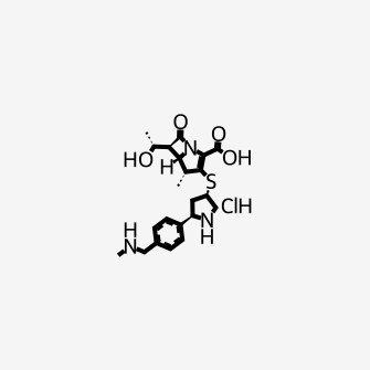 CNCc1ccc([C@H]2C[C@H](SC3=C(C(=O)O)N4C(=O)[C@H]([C@@H](C)O)[C@H]4[C@H]3C)CN2)cc1.Cl